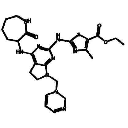 CCOC(=O)c1sc(Nc2nc(NC3CCCCNC3=O)c3c(n2)N(CN2C=CC=NC2)CC3)nc1C